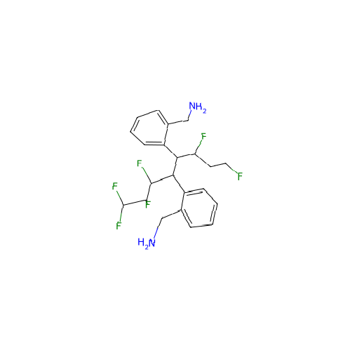 NCc1ccccc1C(C(F)CCF)C(c1ccccc1CN)C(F)C(F)C(F)F